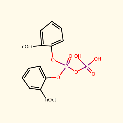 CCCCCCCCc1ccccc1OP(=O)(Oc1ccccc1CCCCCCCC)OP(=O)(O)O